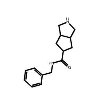 O=C(NCc1ccccc1)C1CC2CNCC2C1